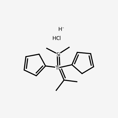 C[C](C)=[Ti]([C]1=CC=CC1)([C]1=CC=CC1)=[Si](C)C.Cl.[H-]